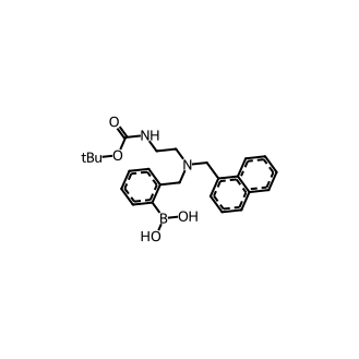 CC(C)(C)OC(=O)NCCN(Cc1ccccc1B(O)O)Cc1cccc2ccccc12